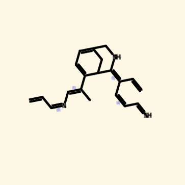 C=C/C=N\C=C(/C)C1=CC=C2CN/C(=C(C=C)/C=C\C=N)C1C2